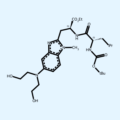 CCOC(=O)[C@H](Cc1nc2cc(N(CCO)CCO)ccc2n1C)NC(=O)[C@H](CC(C)C)NC(=O)OC(C)(C)C